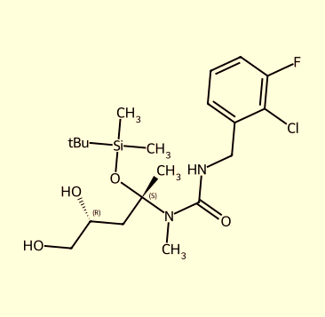 CN(C(=O)NCc1cccc(F)c1Cl)[C@](C)(C[C@@H](O)CO)O[Si](C)(C)C(C)(C)C